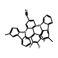 Cc1ccc2c(c1)c1ccccc1n2-c1cc(C#N)cc(-n2c3ccccc3c3cc(C)ccc32)c1-c1c(F)c(F)c(F)c(F)c1F